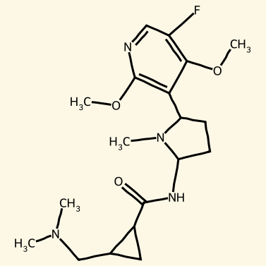 COc1ncc(F)c(OC)c1C1CCC(NC(=O)C2CC2CN(C)C)N1C